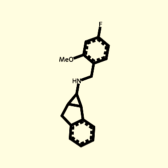 COc1cc(F)ccc1CNC1C2Cc3ccccc3C21